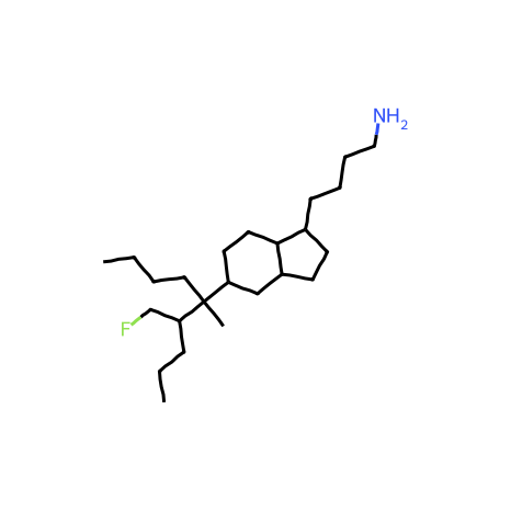 CCCCC(C)(C(CF)CCC)C1CCC2C(CCCCN)CCC2C1